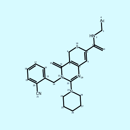 C=C(NCC(C)=O)C1=CC2=C(CS1)C(=C)N(Cc1ccccc1C#N)C(N1CCCCC1)=N2